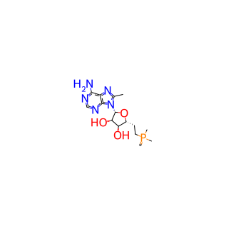 C=P(C)(C)CC[C@H]1O[C@@H](n2c(C)nc3c(N)ncnc32)[C@H](O)[C@@H]1O